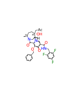 CC(=O)C[C@]1(O)CC[C@H](C)N2C[C@H]1n1cc(C(=O)NCc3c(F)cc(F)cc3F)c(=O)c(OCc3ccccc3)c1C2=O